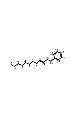 CCCCCCCCC=CCCc1[c]cccc1